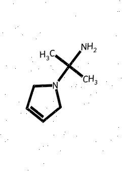 CC(C)(N)N1CC=CC1